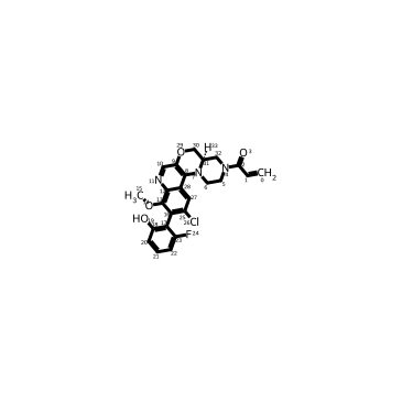 C=CC(=O)N1CCN2c3c(cnc4c(OC)c(-c5c(O)cccc5F)c(Cl)cc34)OC[C@H]2C1